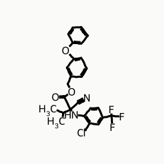 CC(C)C(C#N)(Nc1ccc(C(F)(F)F)cc1Cl)C(=O)OCc1cccc(Oc2ccccc2)c1